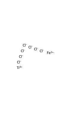 [Cl-].[Cl-].[Cl-].[Cl-].[Cl-].[Cl-].[Cl-].[Fe+3].[Ti+4]